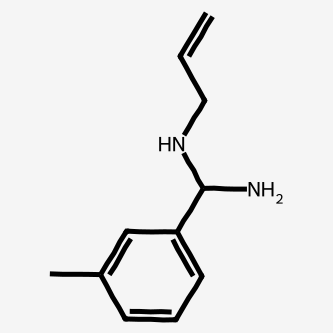 C=CCNC(N)c1cccc(C)c1